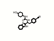 N#Cc1ccc(CC(NC(=O)NC2CCC(O)CC2)c2nc3ccccc3[nH]2)cc1